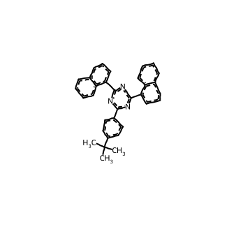 CC(C)(C)c1ccc(-c2nc(-c3cccc4ccccc34)nc(-c3cccc4ccccc34)n2)cc1